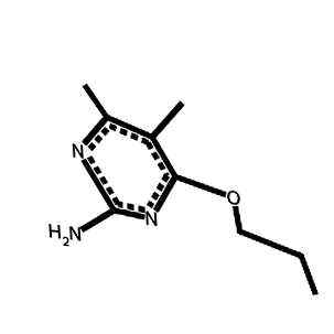 CCCOc1nc(N)nc(C)c1C